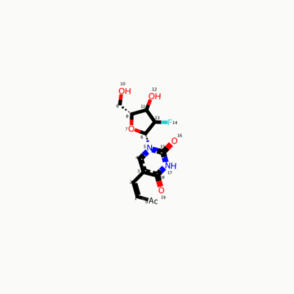 CC(=O)/C=C\c1cn([C@@H]2O[C@H](CO)C(O)C2F)c(=O)[nH]c1=O